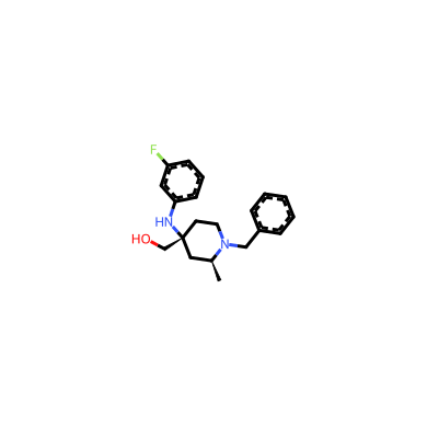 C[C@H]1C[C@](CO)(Nc2cccc(F)c2)CCN1Cc1ccccc1